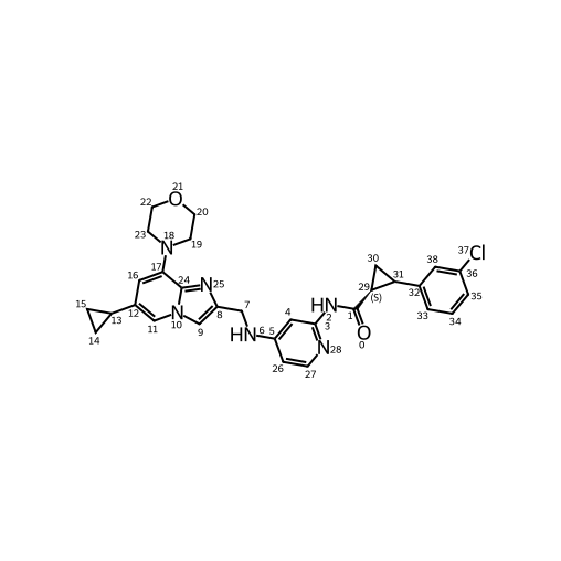 O=C(Nc1cc(NCc2cn3cc(C4CC4)cc(N4CCOCC4)c3n2)ccn1)[C@H]1CC1c1cccc(Cl)c1